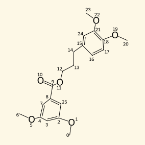 COc1cc(OC)cc(C(=O)OCCCc2ccc(OC)c(OC)c2)c1